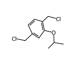 CC(C)Oc1cc(CCl)ccc1CCl